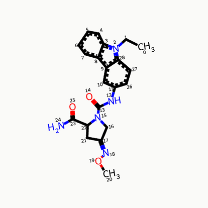 CCn1c2ccccc2c2cc(NC(=O)N3CC(=NOC)CC3C(N)=O)ccc21